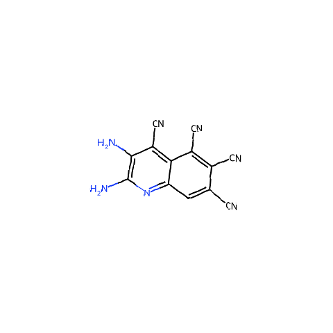 N#Cc1cc2nc(N)c(N)c(C#N)c2c(C#N)c1C#N